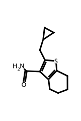 NC(=O)c1c(CC2CC2)sc2c1CCCC2